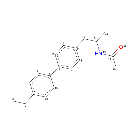 CCc1ccc(-c2ccc(CC(C)NC(C)=O)cc2)cc1